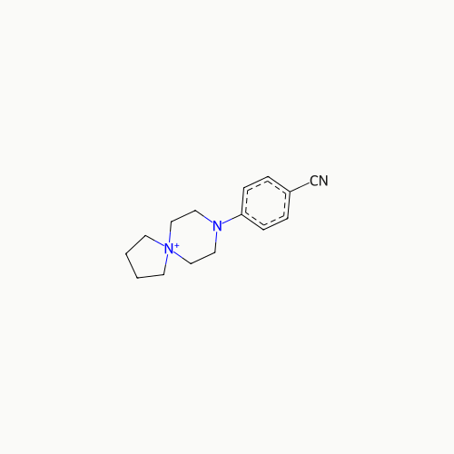 N#Cc1ccc(N2CC[N+]3(CCCC3)CC2)cc1